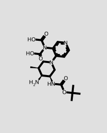 C[C@H]1CN(c2ccncc2N(C(=O)O)C(=O)O)C[C@@H](NC(=O)OC(C)(C)C)[C@H]1N